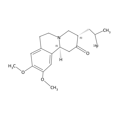 COc1cc2c(cc1OC)[C@@H]1CC(=O)[C@@H](CC(C)[18F])CN1CC2